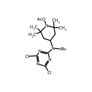 CCCCN(c1nc(Cl)nc(Cl)n1)C1CC(C)(C)N(OC(C)=O)C(C)(C)C1